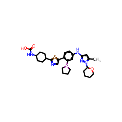 Cc1cc(Nc2ccc(-c3cnc(C4CCC(NC(=O)O)CC4)s3)c(P3CCCC3)c2)nn1C1CCCCO1